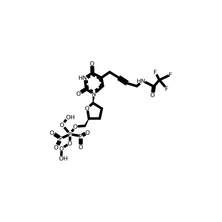 O=C(NCC#CCc1cn([C@H]2CC[C@@H](COP(OO)(OOO)(P(=O)=O)P(=O)=O)O2)c(=O)[nH]c1=O)C(F)(F)F